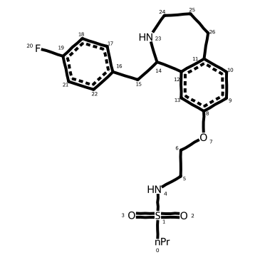 CCCS(=O)(=O)NCCOc1ccc2c(c1)C(Cc1ccc(F)cc1)NCCC2